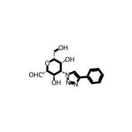 O=C[C@@H]1O[C@H](CO)[C@H](O)[C@H](n2cc(-c3ccccc3)nn2)[C@H]1O